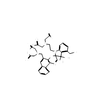 CC1(C)c2c(CO)cccc2N(CCN(CC(=O)F)CC(=O)F)C12C=Nc1c(c(CN(CC(=O)F)CC(=O)F)cc3ccccc13)O2